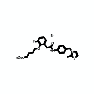 CCCCCCCCCCCCCCOc1c(F)cccc1CC(=O)Nc1ccc(C[n+]2ccsc2C)cc1.[Br-]